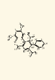 COc1cc(OC)c(I)c(-c2c(C(C)C)cc(C(C)C)c(-c3ccccc3)c2C(C)C)c1